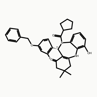 CC1(C)CC(=O)C2=C(C1)Nc1c(O)cccc1N(C(=O)C1CCCC1)[C@H]2c1ccc(OCc2ccccc2)cc1F